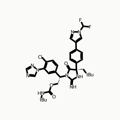 CC(C)(C)C[C@]1(c2ccc(-c3cnn(C(F)F)c3)cc2)NC(=N)N([C@H](COC(=O)NC(C)(C)C)c2ccc(Cl)c(-n3cncn3)c2)C1=O